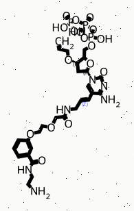 C=CCO[C@@H]1C[C@H](n2cc(/C=C/CNC(=O)COCCOc3cccc(C(=O)NCCN)c3)c(N)nc2=O)OC1COP(=O)(O)OP(=O)(O)OP(=O)(O)O